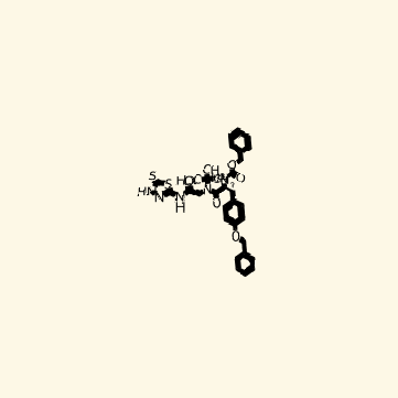 CC(C)(C)N(CC(=O)Nc1n[nH]c(=S)s1)C(=O)[C@H](Cc1ccc(OCc2ccccc2)cc1)NC(=O)OCc1ccccc1